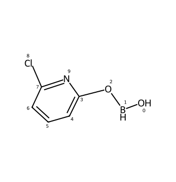 OBOc1cccc(Cl)n1